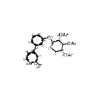 CC(=O)O[C@@H]1[C@@H](OC(C)=O)[C@H](OC(C)=O)CS[C@H]1Oc1cccc(-c2ccnc(F)c2)c1